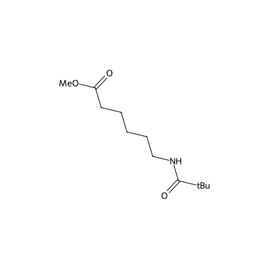 COC(=O)CCCCCNC(=O)C(C)(C)C